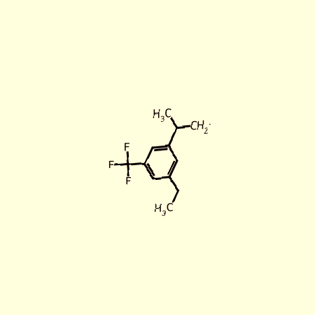 [CH2]C(C)c1cc(CC)cc(C(F)(F)F)c1